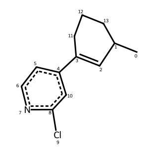 CC1C=C(c2ccnc(Cl)c2)CCC1